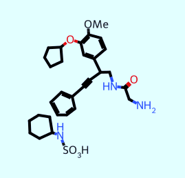 COc1ccc(C(C#Cc2ccccc2)CNC(=O)CN)cc1OC1CCCC1.O=S(=O)(O)NC1CCCCC1